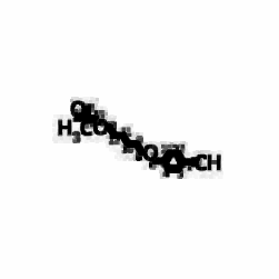 C#Cc1ccc(COCCCCCCOCC2(C)COC2)cc1